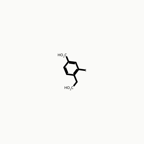 O=C(O)Cc1ccc(C(=O)O)cc1I